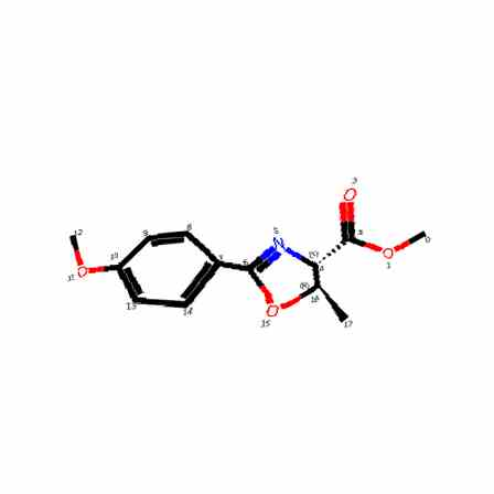 COC(=O)[C@H]1N=C(c2ccc(OC)cc2)O[C@@H]1C